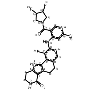 O=C1NCCc2[nH]c3c(c21)CCc1cnc(Nc2cc(Cl)ncc2C(=O)N2CC(F)C(F)C2)c(F)c1-3